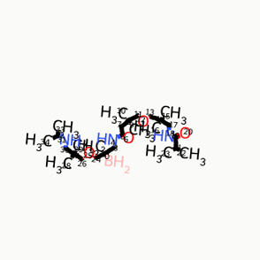 BC(C)(CNC(=O)CC(C)(C)COCC(C)(C)CNC(=O)C(C)C)COCC(C)(C)CNC(C)C